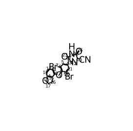 N#Cc1nn(-c2cc(Br)c(Oc3cccc4c3CCO4)c(Br)c2)c(=O)[nH]c1=O